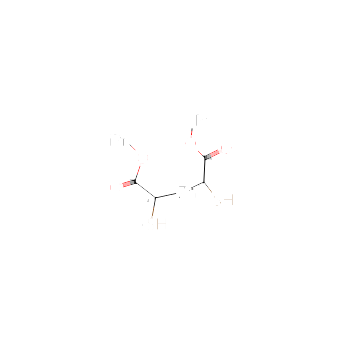 CC(C)OC(=O)[CH](S)[Zn][CH](S)C(=O)OC(C)C